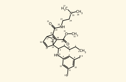 CCCCC(Nc1cc(F)cc(F)c1)C12C=CC(O1)C(C(=O)NCCN(C)C)=C2C(=O)OC